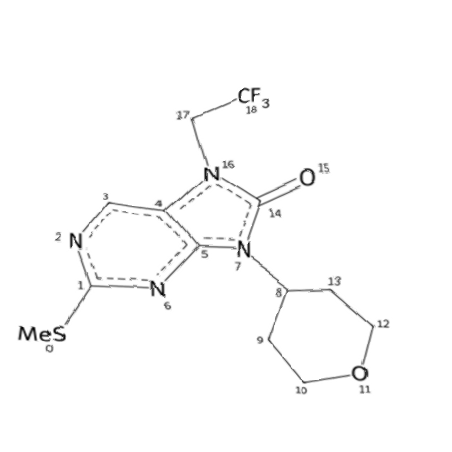 CSc1ncc2c(n1)n(C1CCOCC1)c(=O)n2CC(F)(F)F